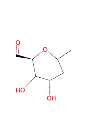 CC1CC(O)C(O)[C@@H](C=O)O1